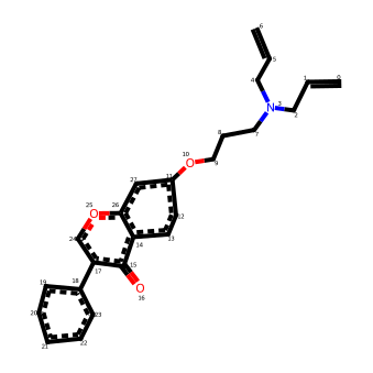 C=CCN(CC=C)CCCOc1ccc2c(=O)c(-c3ccccc3)coc2c1